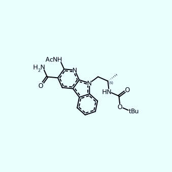 CC(=O)Nc1nc2c(cc1C(N)=O)c1ccccc1n2C[C@H](C)NC(=O)OC(C)(C)C